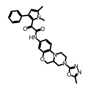 Cc1nnc(N2CCN3c4ccc(NC(=O)C(=O)c5c(-c6ccccc6)cc(C)n5C)cc4OCC3C2)o1